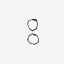 C1=C\CCCCCC/1.C1=C\CCCCCC/1.[Ni]